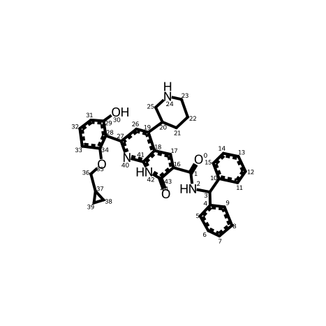 O=C(NC(c1ccccc1)c1ccccc1)c1cc2c(C3CCCNC3)cc(-c3c(O)cccc3OCC3CC3)nc2[nH]c1=O